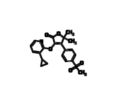 CC1(C)OC(=O)C(Oc2ncccc2C2CC2)=C1c1ccc(S(C)(=O)=O)cc1